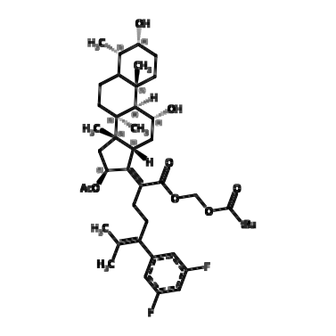 CC(=O)O[C@H]1C[C@@]2(C)[C@H](C[C@@H](O)[C@@H]3[C@@]4(C)CC[C@@H](O)[C@@H](C)C4CC[C@@]32C)C1=C(CCC(=C(C)C)c1cc(F)cc(F)c1)C(=O)OCOC(=O)C(C)(C)C